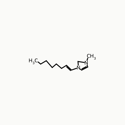 CCCCCCC=CN1C=CN(C)C1